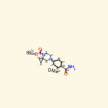 COc1cc(N2CCN(C(=O)OC(C)(C)C)C3(CC3)C2)ccc1C(N)=O